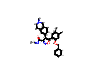 Cc1cc(OCc2ccccc2)c(-c2onc(C(=O)NC(C)C)c2-c2ccc3c(c2)CCN(C)C3)cc1C(C)C